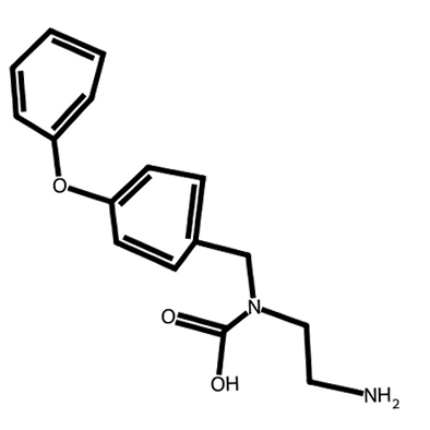 NCCN(Cc1ccc(Oc2ccccc2)cc1)C(=O)O